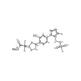 CCc1nc(-c2nnn(C)c2COS(C)(=O)=O)ccc1N1CC[C@@H](C(C)(C)C(=O)OC)C1